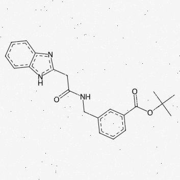 CC(C)(C)OC(=O)c1cccc(CNC(=O)Cc2nc3ccccc3[nH]2)c1